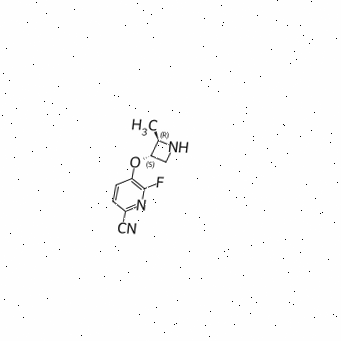 C[C@H]1NC[C@@H]1Oc1ccc(C#N)nc1F